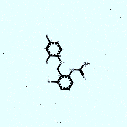 CSC(=O)Nc1cccc(Br)c1COc1ccc(C)cc1C